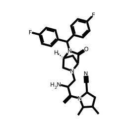 C=C(C(N)CN1C[C@@H]2CC1C(=O)N2C(c1ccc(F)cc1)c1ccc(F)cc1)N1C(C#N)CC(C)C1C